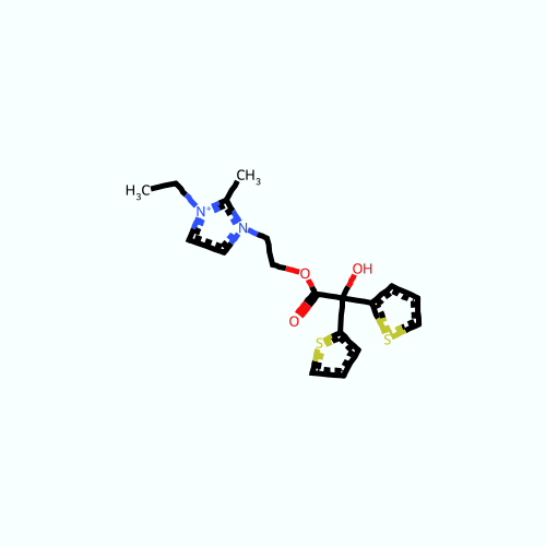 CC[n+]1ccn(CCOC(=O)C(O)(c2cccs2)c2cccs2)c1C